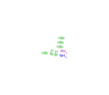 Br.Br.Br.Br.Br.Br.N.P